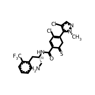 Cn1ncc(Cl)c1C1=C(Cl)C=C(C(=O)N[C@H](CN)Cc2ccccc2C(F)(F)F)C(=S)C1